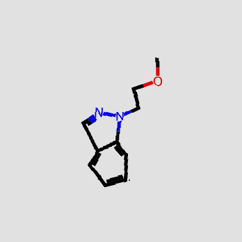 COCCn1ncc2cc[c]cc21